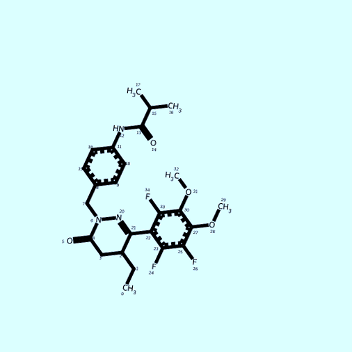 CCC1CC(=O)N(Cc2ccc(NC(=O)C(C)C)cc2)N=C1c1c(F)c(F)c(OC)c(OC)c1F